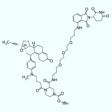 CC#C[C@]12CC[C@H]3[C@@H]4CCC5=CC(=O)CCC5=C4[C@@H](c4ccc(N(C)CCCC(=O)N5CCN(C(=O)OC(C)(C)C)CC5C(=O)NCCCOCCOCCOCCCNc5cccc6c5C(=O)N(C5CCC(=O)NC5=O)C6=O)cc4)C[C@@]31O2